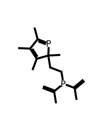 C=C(C)P(CCC1(C)P=C(C)C(C)=C1C)C(=C)C